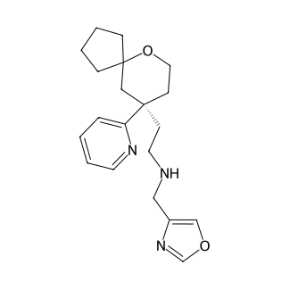 c1ccc([C@]2(CCNCc3cocn3)CCOC3(CCCC3)C2)nc1